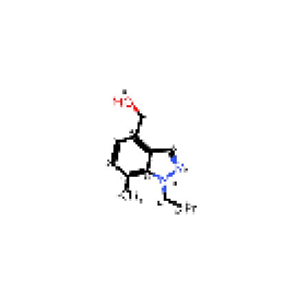 Cc1ccc(CO)c2cnn(CC(C)C)c12